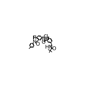 Cc1ccc(NC(=O)c2cc(NC(=O)c3cc(CNC(=O)C(C)(C)C)ccc3Cl)ccc2F)cc1